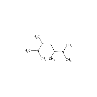 CC(CC(C)N(C)C)N(C)C